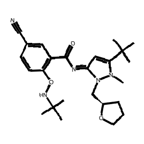 Cn1c(C(C)(C)C)c/c(=N\C(=O)c2cc(C#N)ccc2ONC(C)(C)C)n1C[C@H]1CCCO1